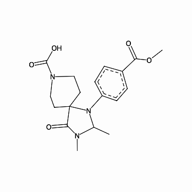 COC(=O)c1ccc(N2C(C)N(C)C(=O)C23CCN(C(=O)O)CC3)cc1